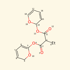 CCC(C(=O)OC1=CC=CCO1)C(=O)OC1C=CC=CO1